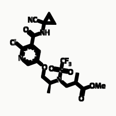 COC(=O)C(C)CN([C@@H](C)COc1cnc(Cl)c(C(=O)NC2(C#N)CC2)c1)S(=O)(=O)C(F)(F)F